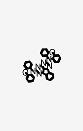 c1ccc2c(c1)Oc1ccccc1N2c1nc2c3c(nc(N4c5ccccc5Oc5ccccc54)nc3n1)-c1ccccc1-2